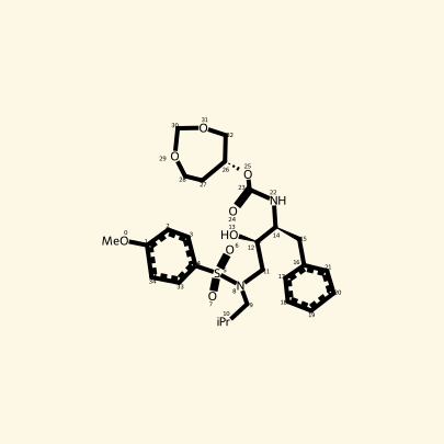 COc1ccc(S(=O)(=O)N(CC(C)C)C[C@@H](O)[C@H](Cc2ccccc2)NC(=O)O[C@@H]2CCOCOC2)cc1